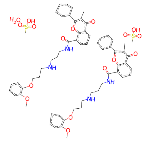 COc1ccccc1OCCCNCCCNC(=O)c1cccc2c(=O)c(C)c(-c3ccccc3)oc12.COc1ccccc1OCCCNCCCNC(=O)c1cccc2c(=O)c(C)c(-c3ccccc3)oc12.CS(=O)(=O)O.CS(=O)(=O)O.O